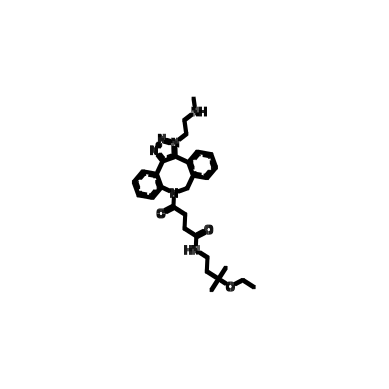 CCOC(C)(C)CCNC(=O)CCC(=O)N1Cc2ccccc2-c2c(nnn2CCNC)-c2ccccc21